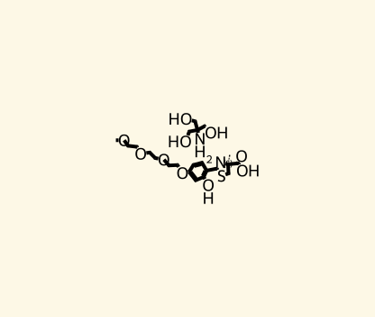 COCCOCCOCCOc1ccc(C2=N[C@@](C)(C(=O)O)CS2)c(O)c1.NC(CO)(CO)CO